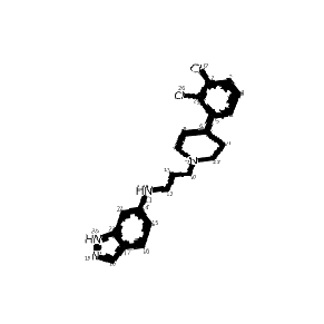 Clc1cccc(C2CCN(CCCNc3ccc4cn[nH]c4c3)CC2)c1Cl